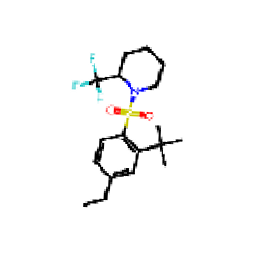 CCc1ccc(S(=O)(=O)N2CCCCC2C(F)(F)F)c(C(C)(C)C)c1